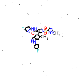 Cc1cc2c(cnn2-c2ccc(F)cc2)cc1[C@@]12CN(S(=O)(=O)c3cnn(C)n3)CC1[C@H]2C(=O)Nc1ccc(F)cn1